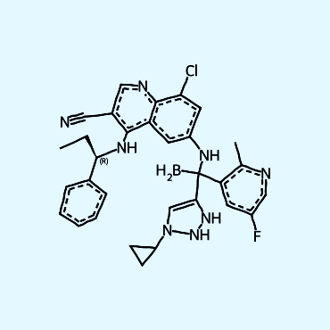 BC(Nc1cc(Cl)c2ncc(C#N)c(N[C@H](CC)c3ccccc3)c2c1)(C1=CN(C2CC2)NN1)c1cc(F)cnc1C